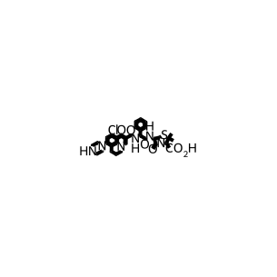 CC1(C)SC2C(NC(=O)C(NC(=O)c3cn4c5c(c(N6CCNCC6)cc(Cl)c5c3=O)CCC4)c3ccccc3)C(=O)N2C1C(=O)O